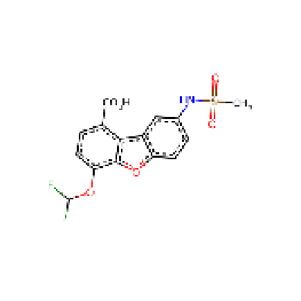 CS(=O)(=O)Nc1ccc2oc3c(OC(F)F)ccc(C(=O)O)c3c2c1